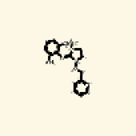 Cc1cccc(Cl)c1N=C1N(C=O)CCN1OCc1ccccn1